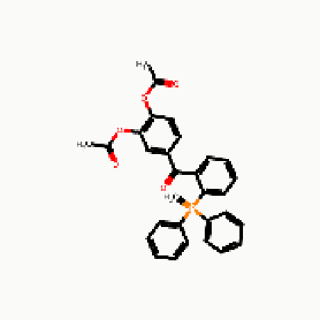 C=P(c1ccccc1)(c1ccccc1)c1ccccc1C(=O)c1ccc(OC(C)=O)c(OC(C)=O)c1